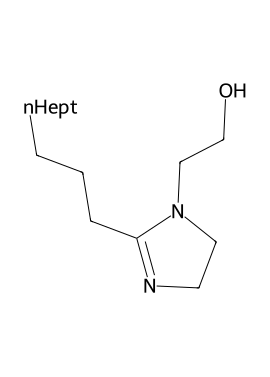 CCCCCCCCCCC1=NCCN1CCO